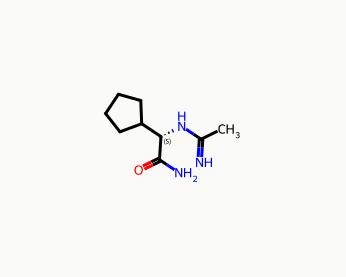 CC(=N)N[C@H](C(N)=O)C1CCCC1